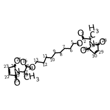 CC(C(=O)OCCCCCCCCCOC(=O)C(C)N1C(=O)C=CC1=O)N1C(=O)C=CC1=O